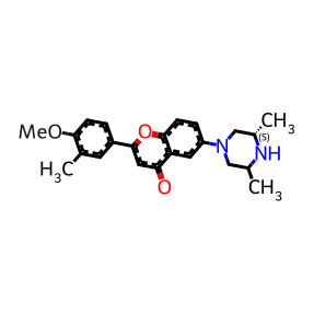 COc1ccc(-c2cc(=O)c3cc(N4CC(C)N[C@@H](C)C4)ccc3o2)cc1C